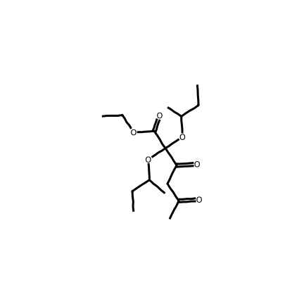 CCOC(=O)C(OC(C)CC)(OC(C)CC)C(=O)CC(C)=O